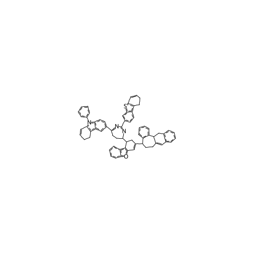 C1=Cc2sc3cc(C4=NC(C5CC(C6CCC7=Cc8ccccc8CC7c7ccccc76)=Cc6oc7ccccc7c65)CCC(c5ccc6c(c5)c5c(n6-c6ccccc6)C=CCC5)=N4)ccc3c2CC1